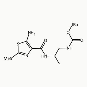 CSc1nc(C(=O)NC(C)CNC(=O)OC(C)(C)C)c(N)s1